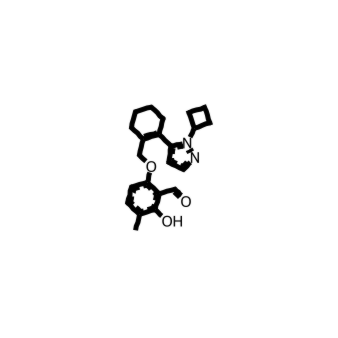 Cc1ccc(OCC2=C(c3ccnn3C3CCC3)CCCC2)c(C=O)c1O